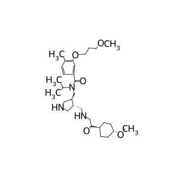 COCCCOc1cc(C(=O)N(C[C@@H]2CNC[C@H]2CNCC(=O)[C@H]2CC[C@H](OC)CC2)C(C)C)ccc1C